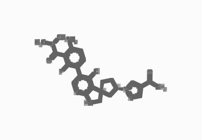 CN(C)C(=O)c1c(N)ccc(-c2cnc3c(c2Cl)[C@@]2(CC[C@H](n4cc(C(N)=O)cn4)C2)CN3)c1F